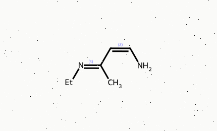 CC/N=C(C)/C=C\N